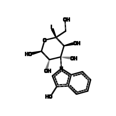 OC[C@@]1(I)O[C@H](O)[C@@H](O)[C@](O)(n2cc(O)c3ccccc32)[C@@H]1O